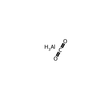 O=C=O.[AlH3]